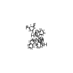 O=C(Cc1cc(F)cc(F)c1)N[C@H](C(=O)N[C@@H]1C(=O)NCCS[C@@H]1c1cccc2ccccc12)c1ccccc1